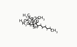 CCCCCCCC(=O)C(S)(CC)[Si](OCC)(OCC)OCC